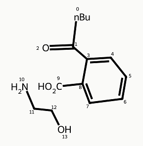 CCCCC(=O)c1ccccc1C(=O)O.NCCO